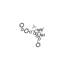 CC(C)C[C@H](NC(=O)[C@H](CC(C)C)NC(=O)OCc1ccccc1)C(=O)COc1ccc(Oc2ccccc2)cc1